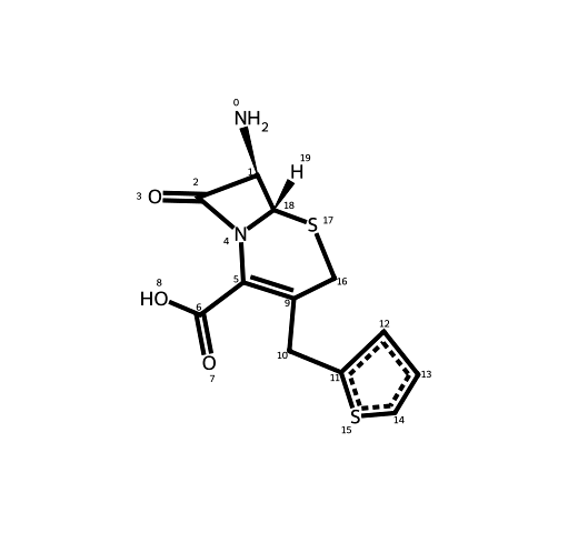 N[C@@H]1C(=O)N2C(C(=O)O)=C(Cc3cccs3)CS[C@@H]12